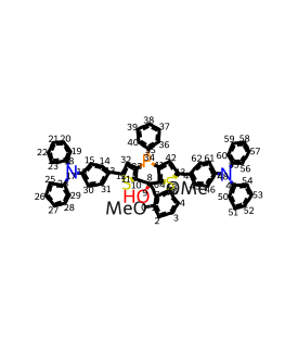 COc1cccc(OC)c1C1(O)c2sc(-c3ccc(N(c4ccccc4)c4ccccc4)cc3)cc2P(c2ccccc2)c2cc(-c3ccc(N(c4ccccc4)c4ccccc4)cc3)sc21